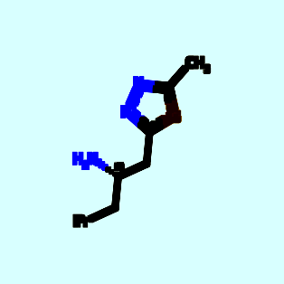 Cc1nnc(C[C@@H](N)CC(C)C)s1